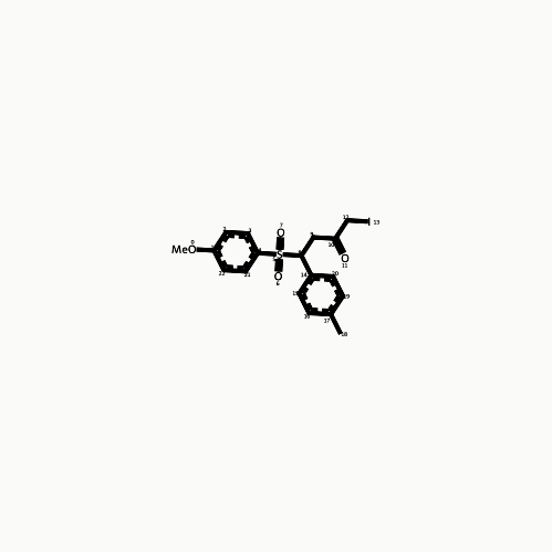 COc1ccc(S(=O)(=O)C(CC(=O)CI)c2ccc(C)cc2)cc1